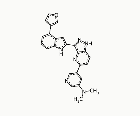 CN(C)c1cncc(-c2ccc3[nH]nc(-c4cc5c(-c6ccoc6)cccc5[nH]4)c3n2)c1